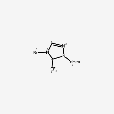 CCCCCCN1N=CN(Br)C1C(F)(F)F